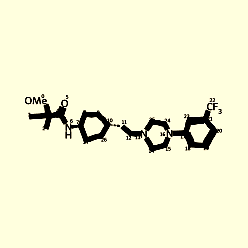 COC(C)(C)C(=O)N[C@H]1CC[C@H](CCN2CCN(c3cccc(C(F)(F)F)c3)CC2)CC1